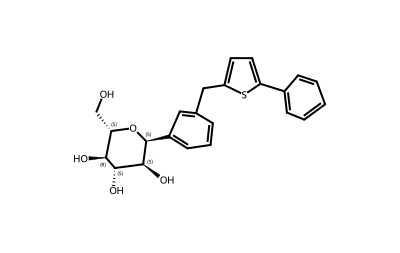 OC[C@@H]1O[C@@H](c2cccc(Cc3ccc(-c4ccccc4)s3)c2)[C@@H](O)[C@H](O)[C@H]1O